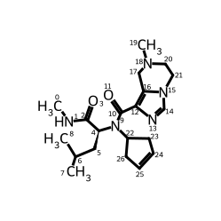 CNC(=O)[C@H](CC(C)C)N(C(=O)c1ncn2c1CN(C)CC2)C1CC=CC1